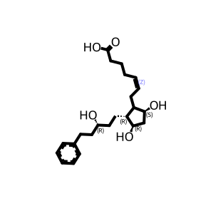 O=C(O)CCC/C=C\CC1[C@@H](CC[C@@H](O)CCc2ccccc2)[C@H](O)C[C@@H]1O